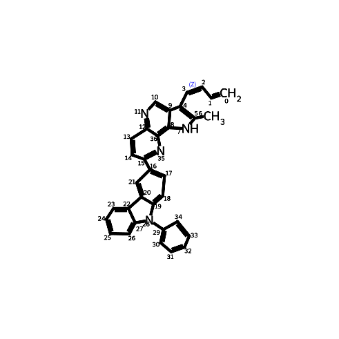 C=C/C=C\c1c(C)[nH]c2c1cnc1ccc(-c3ccc4c(c3)c3ccccc3n4-c3ccccc3)nc12